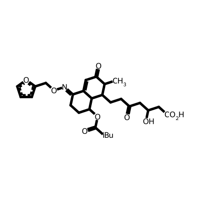 CCC(C)C(=O)OC1CC/C(=N\OCc2ccco2)C2=CC(=O)C(C)C(CCC(=O)CC(O)CC(=O)O)C21